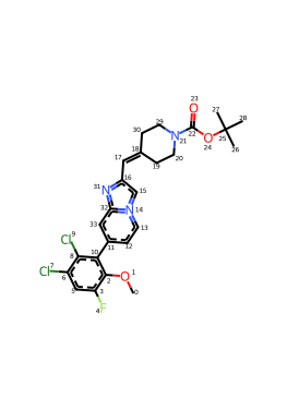 COc1c(F)cc(Cl)c(Cl)c1-c1ccn2cc(C=C3CCN(C(=O)OC(C)(C)C)CC3)nc2c1